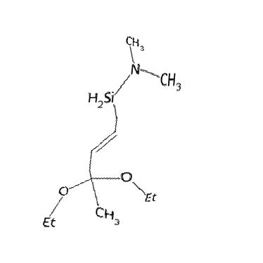 CCOC(C)(C=C[SiH2]N(C)C)OCC